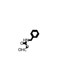 O=COC(=O)NCc1ccccc1